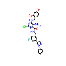 COc1ccc(CNc2nc(Cl)nc(C(=O)NCc3cc(F)cc(-c4cnn(-c5ccc(F)cc5)c4)c3)c2N)c(OC)c1